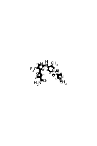 C[C@@H]1CN(S(=O)(=O)c2cnn(C)c2)CC[C@@H]1Nc1ncc(C(F)(F)F)c(-c2cc(C(N)=O)cs2)n1